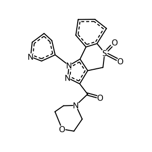 O=C(c1nn(-c2cccnc2)c2c1CS(=O)(=O)c1ccccc1-2)N1CCOCC1